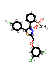 CS(=O)(=O)c1ccccc1-c1nc(COc2cc(Cl)cc(Cl)c2)sc1-c1ccc(F)cc1